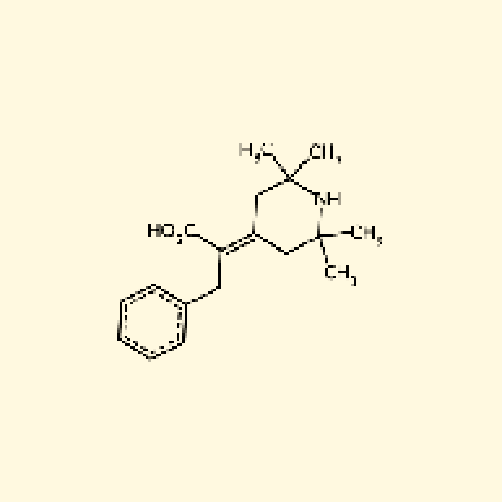 CC1(C)CC(=C(Cc2ccccc2)C(=O)O)CC(C)(C)N1